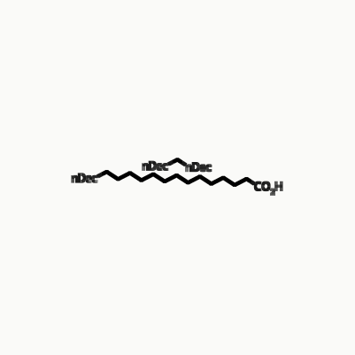 CCCCCCCCCCCCCCCCCCCCC.CCCCCCCCCCCCCCCCCCCCCCCC(=O)O